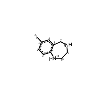 Ic1ccc2c(c1)CNCCN2